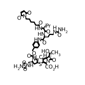 CC(C)[C@H](NC(=O)CCCCCN1C(=O)C=CC1=O)C(=O)N[C@@H](CCCNC(N)=O)C(=O)Nc1ccc(COC(=O)N2C[C@@H](SC3=C(C(=O)O)N4C(=O)[C@H]([C@@H](C)O)[C@H]4[C@H]3C)C[C@H]2CNS(N)(=O)=O)cc1